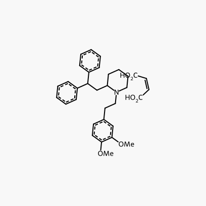 COc1ccc(CCN2CCCCC2CC(c2ccccc2)c2ccccc2)cc1OC.O=C(O)/C=C\C(=O)O